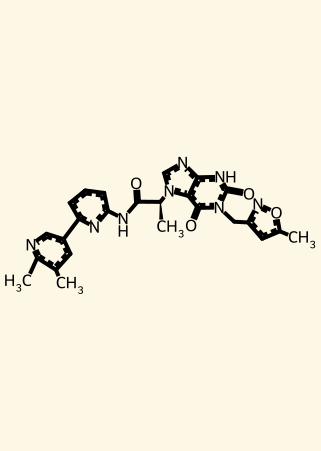 Cc1cc(Cn2c(=O)[nH]c3ncn([C@@H](C)C(=O)Nc4cccc(-c5cnc(C)c(C)c5)n4)c3c2=O)no1